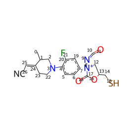 CC1CN(c2ccc([N@@+]3(N=C=O)CC(CS)OC3=O)cc2F)CCC1=CC#N